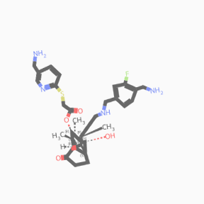 C[C@@H]1CC[C@@]23CCC(=O)[C@H]2[C@]1(C)[C@H](OC(=O)CSc1ccc(CN)cn1)C[C@](C)(CNCc1ccc(CN)c(F)c1)[C@@H](O)C3